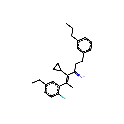 CCCc1cccc(CCC(=N)/C(=C(\C)c2cc(CC)ccc2F)C2CC2)c1